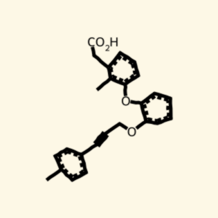 Cc1ccc(C#CCOc2ccccc2Oc2cccc(CC(=O)O)c2C)cc1